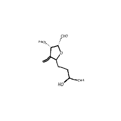 C=C1C(CCC(O)O)O[C@@H](C=O)[C@H]1O